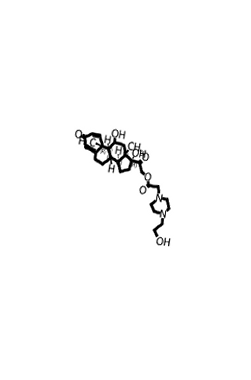 C[C@]12C=CC(=O)C=C1CC[C@@H]1[C@@H]2C(O)C[C@@]2(C)[C@H]1CC[C@]2(O)C(=O)COC(=O)CN1CCN(CCO)CC1